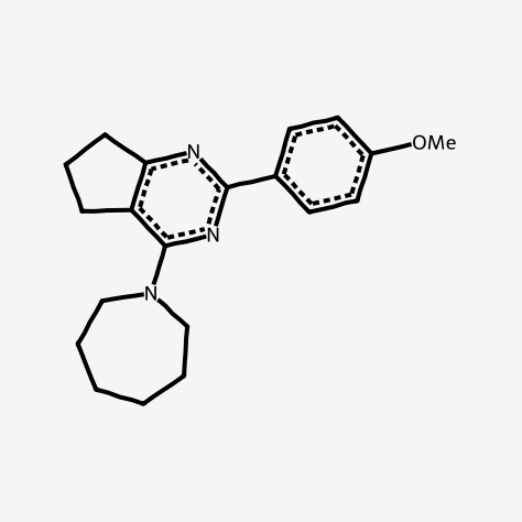 COc1ccc(-c2nc3c(c(N4CCCCCC4)n2)CCC3)cc1